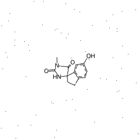 CN1C(=O)NC2(CCc3ccc(O)cc32)C1=O